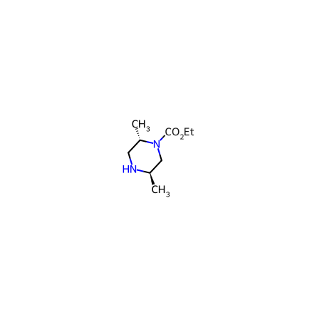 CCOC(=O)N1C[C@@H](C)NC[C@@H]1C